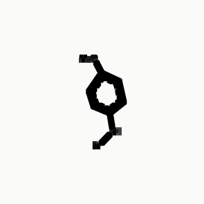 COc1ccc(NBr)cc1